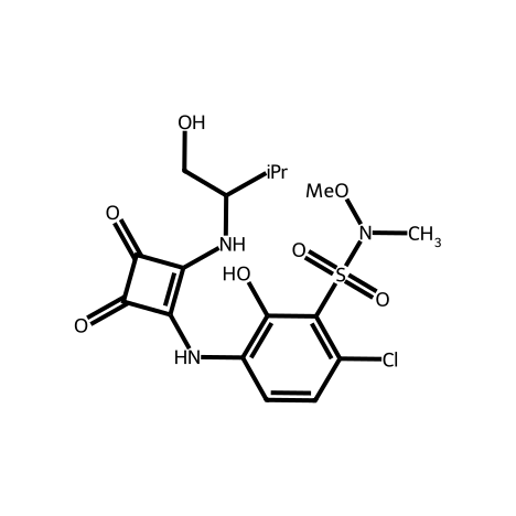 CON(C)S(=O)(=O)c1c(Cl)ccc(Nc2c(NC(CO)C(C)C)c(=O)c2=O)c1O